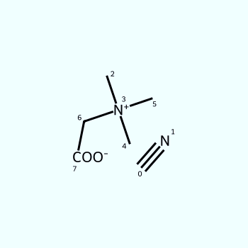 C#N.C[N+](C)(C)CC(=O)[O-]